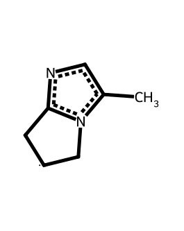 Cc1cnc2n1C[CH]C2